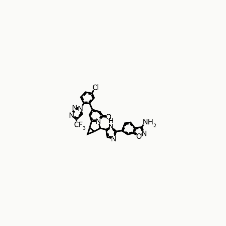 Nc1noc2cc(-c3ncc(C4C5CC5c5cc(-c6cc(Cl)ccc6-n6cc(C(F)(F)F)nn6)cc(=O)n54)[nH]3)ccc12